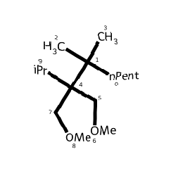 CCCCCC(C)(C)C(COC)(COC)C(C)C